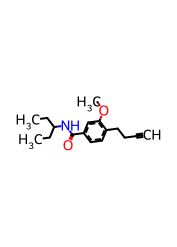 C#CCCc1ccc(C(=O)NC(CC)CC)cc1OC